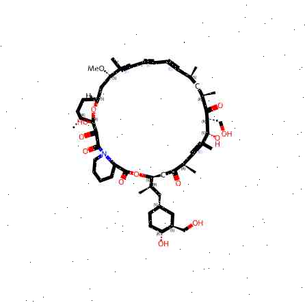 CO[C@H]1C[C@@H]2CC[C@@H](C)[C@@](O)(O2)C(=O)C(=O)N2CCCCC2C(=O)O[C@H]([C@H](C)C[C@@H]2CC[C@@H](O)[C@H](CO)C2)CC(=O)[C@H](C)/C=C(\C)[C@@H](O)[C@@H](CO)C(=O)[C@H](C)C[C@H](C)/C=C/C=C/C=C/1C